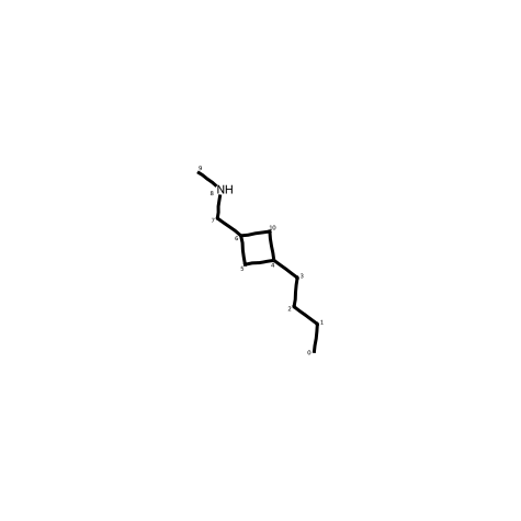 CCCCC1CC(CNC)C1